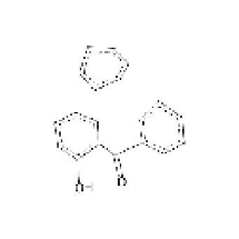 O=C(c1ccccc1)c1ccccc1O.c1ccccc1